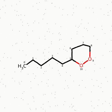 CCCCCC1CCCOO1